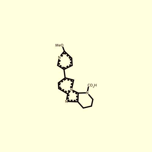 COc1ccc(-c2ccc3nc4c(n3c2)N(C(=O)O)CCC4)cn1